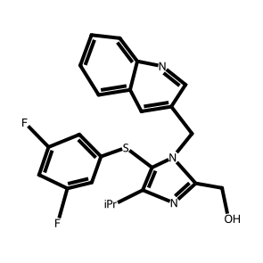 CC(C)c1nc(CO)n(Cc2cnc3ccccc3c2)c1Sc1cc(F)cc(F)c1